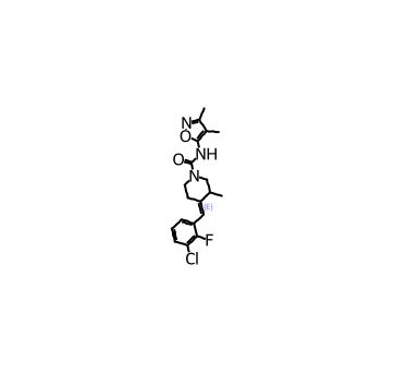 Cc1noc(NC(=O)N2CC/C(=C\c3cccc(Cl)c3F)C(C)C2)c1C